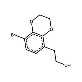 OCCc1ccc(Br)c2c1OCCO2